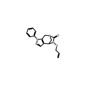 C=CCON1C(=O)N2Cc3c(cnn3-c3ccccc3)C1C2